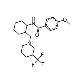 COc1ccc(C(=O)NC2CCCCC2CN2CCCC(C(F)(F)F)C2)cc1